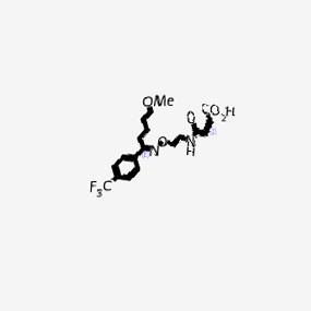 COCCCC/C(=N\OCCNC(=O)/C=C\C(=O)O)c1ccc(C(F)(F)F)cc1